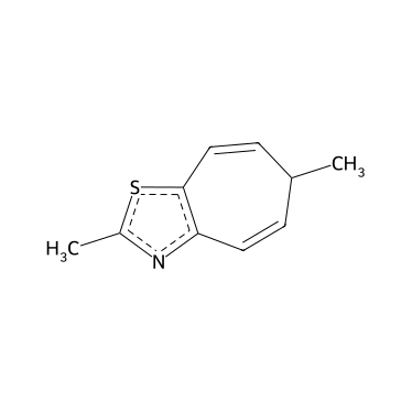 Cc1nc2c(s1)C=CC(C)C=C2